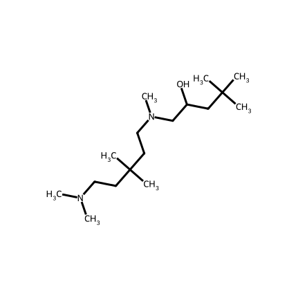 CN(C)CCC(C)(C)CCN(C)CC(O)CC(C)(C)C